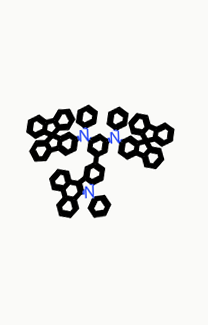 c1ccc(N(c2cc(-c3ccc4c(c3)c3c5ccccc5c5ccccc5c3n4-c3ccccc3)cc(N(c3ccccc3)c3ccc4c(c3)C3(c5ccccc5-c5ccccc53)c3ccccc3-4)c2)c2ccc3c(c2)C2(c4ccccc4-c4ccccc42)c2ccccc2-3)cc1